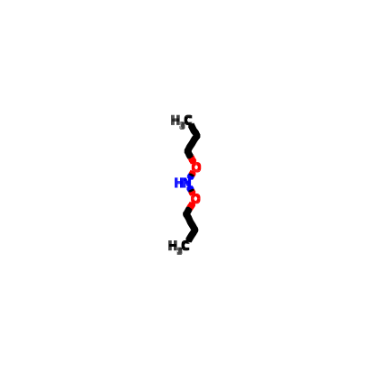 CCCONOCCC